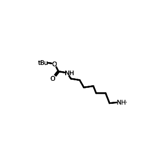 CC(C)(C)OC(=O)NCCCCCCC[NH]